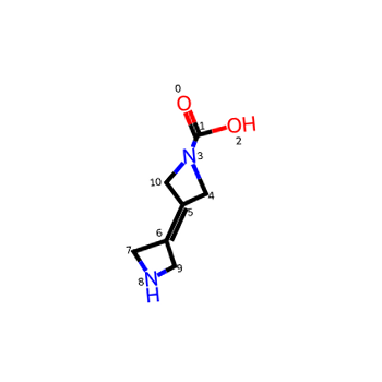 O=C(O)N1CC(=C2CNC2)C1